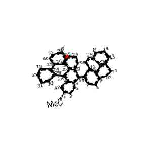 COc1ccc2c(-c3ccc4ccc5cccc6ccc3c4c56)c3ccccc3c(-c3ccccc3-c3ccccc3)c2c1